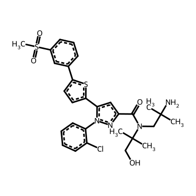 CC(C)(N)CN(C(=O)c1cc(-c2ccc(-c3cccc(S(C)(=O)=O)c3)s2)n(-c2ccccc2Cl)n1)C(C)(C)CO